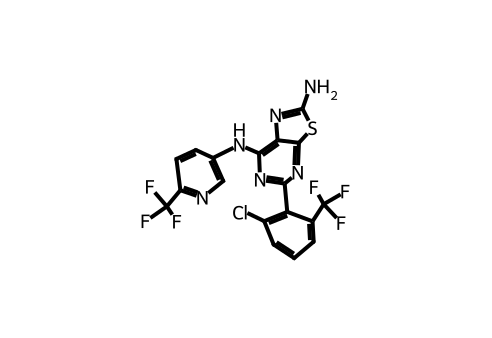 Nc1nc2c(Nc3ccc(C(F)(F)F)nc3)nc(-c3c(Cl)cccc3C(F)(F)F)nc2s1